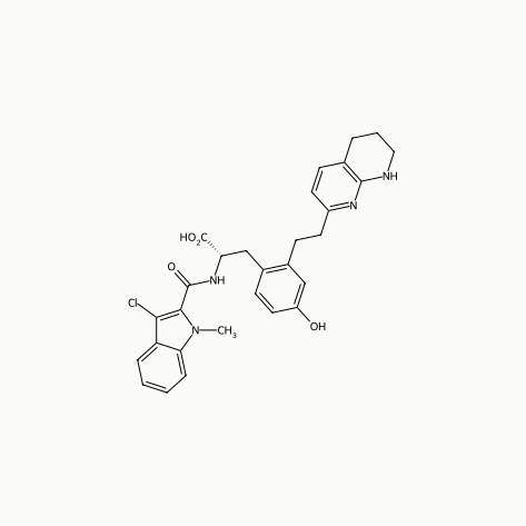 Cn1c(C(=O)N[C@@H](Cc2ccc(O)cc2CCc2ccc3c(n2)NCCC3)C(=O)O)c(Cl)c2ccccc21